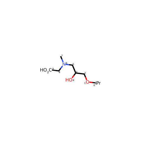 CC(C)OCC(O)CN(C)CC(=O)O